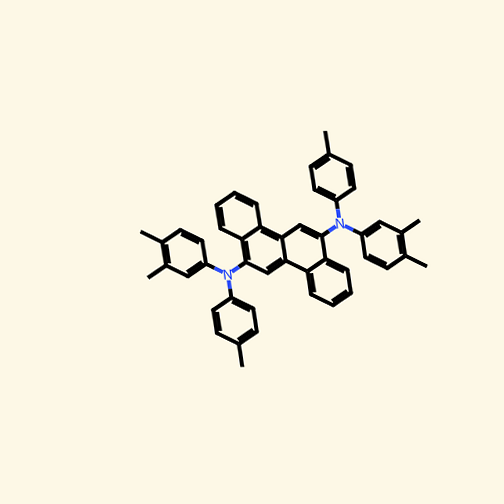 Cc1ccc(N(c2ccc(C)c(C)c2)c2cc3c4ccccc4c(N(c4ccc(C)cc4)c4ccc(C)c(C)c4)cc3c3ccccc23)cc1